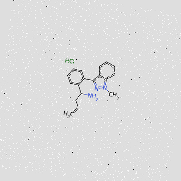 C=CCC(N)c1ccccc1-c1nn(C)c2ccccc12.Cl